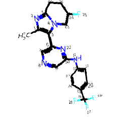 Cc1nc2n(c1-c1cncc(Nc3ccc(C(F)(F)F)cc3)n1)CC(F)CC2